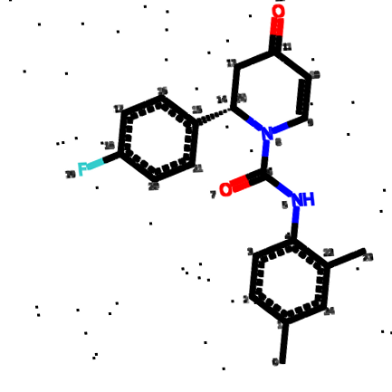 Cc1ccc(NC(=O)N2C=CC(=O)C[C@H]2c2ccc(F)cc2)c(C)c1